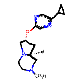 O=C(O)N1CCN2C[C@H](Oc3cnc(C4CC4)cn3)C[C@H]2C1